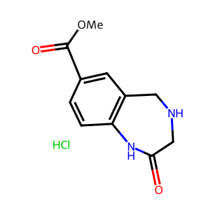 COC(=O)c1ccc2c(c1)CNCC(=O)N2.Cl